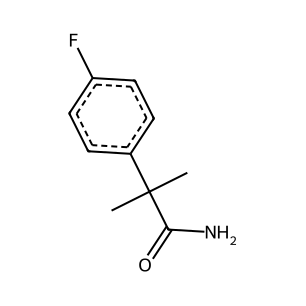 CC(C)(C(N)=O)c1ccc(F)cc1